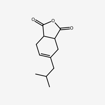 CC(C)CC1=CCC2C(=O)OC(=O)C2C1